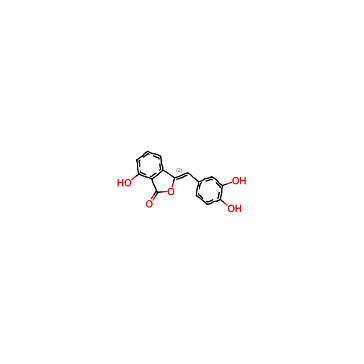 O=C1O/C(=C\c2ccc(O)c(O)c2)c2cccc(O)c21